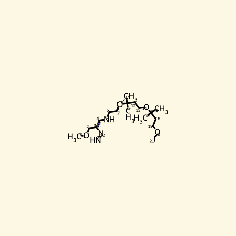 COC/C(=C/NCCOC(C)(C)CCOC(C)(C)CCOI)N=N